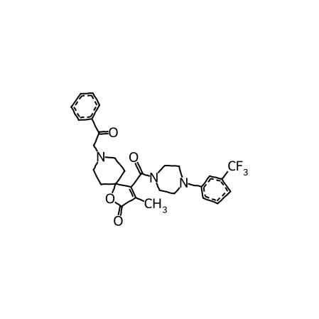 CC1=C(C(=O)N2CCN(c3cccc(C(F)(F)F)c3)CC2)C2(CCN(CC(=O)c3ccccc3)CC2)OC1=O